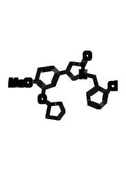 COc1ccc(C2CC(=O)N(Cc3ccccc3Cl)C2)cc1OC1CCCC1